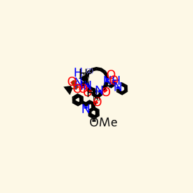 COc1ccc2c(O[C@@H]3C[C@H]4C(=O)N[C@]5(C(=O)NS(=O)(=O)C6CC6)C[C@H]5/C=C\CCCC(=O)N[C@@H](CC(=O)N5CCCCC5)C(=O)N4C3)cc(-c3ccccc3)nc2c1